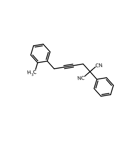 Cc1ccccc1CC#CCC(C#N)(C#N)c1ccccc1